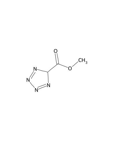 COC(=O)C1N=NN=N1